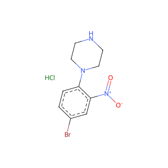 Cl.O=[N+]([O-])c1cc(Br)ccc1N1CCNCC1